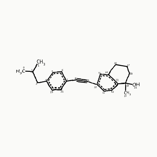 CC(C)Cc1ccc(C#Cc2ccc3c(c2)CCCC3(C)O)cc1